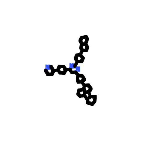 c1cncc(-c2ccc(-c3cc(-c4ccc(-c5ccc6c7c(cccc57)-c5ccccc5-6)cc4)nc(-c4ccc(-c5ccc6ccccc6c5)cc4)n3)cc2)c1